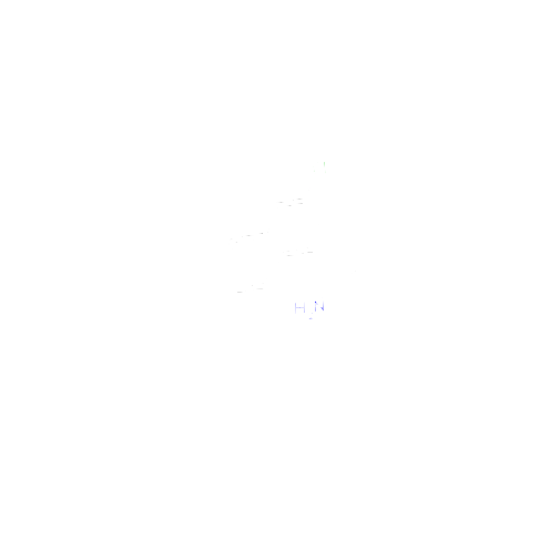 C[C@H](N)c1cc(Cl)cc2ccccc12